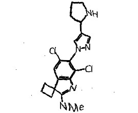 CNC1=Nc2c(cc(Cl)c(-n3cc(C4CCCN4)cn3)c2Cl)C12CCC2